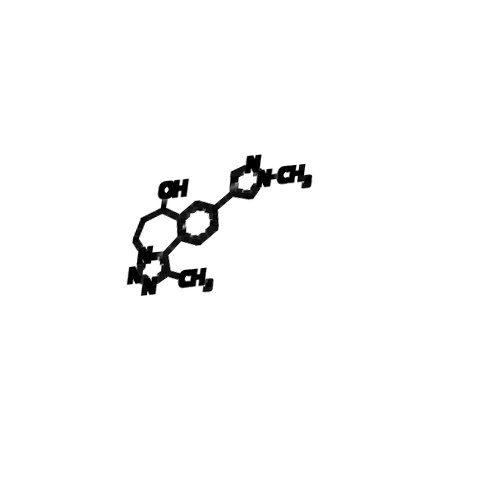 Cc1nnn2c1-c1ccc(-c3cnn(C)c3)cc1C(O)CC2